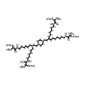 CCCCCCC(CCCC)C(=O)NCCCCCCCC(CCCCCCNC(=O)C(CCCC)CCCCCC)CCN1CCN(CCN(CCCCCCNC(=O)C(CCCC)CCCCCC)CCCCCCNC(O)C(CCCC)CCCCCC)CC1